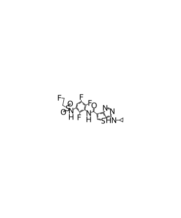 O=C(Nc1c(F)c(F)cc(NS(=O)(=O)CCF)c1F)c1csc2c(NC3CC3)ncnc12